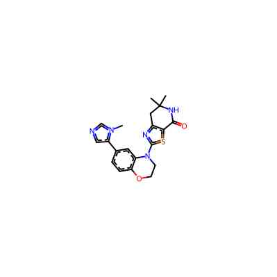 Cn1cncc1-c1ccc2c(c1)N(c1nc3c(s1)C(=O)NC(C)(C)C3)CCO2